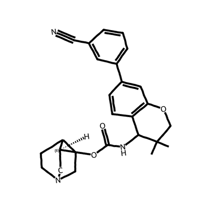 CC1(C)COc2cc(-c3cccc(C#N)c3)ccc2C1NC(=O)O[C@H]1CN2CCC1CC2